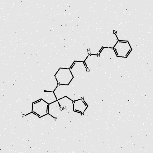 C[C@@H](N1CCC(=CC(=O)NN=Cc2ccccc2Br)CC1)[C@](O)(Cn1cncn1)c1ccc(F)cc1F